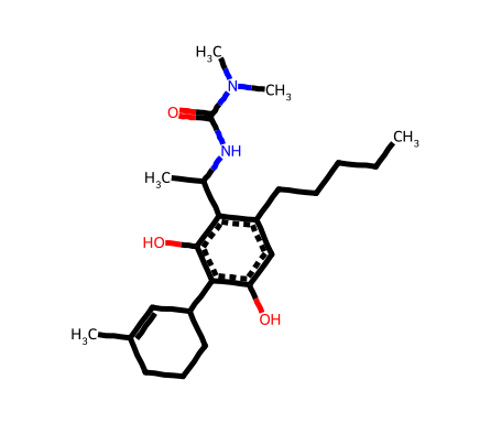 CCCCCc1cc(O)c(C2C=C(C)CCC2)c(O)c1C(C)NC(=O)N(C)C